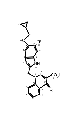 O=C(O)c1nn(Cc2nc3cc(OCC4CC4)c(C(F)(F)F)cc3[nH]2)c2ccccc2c1=O